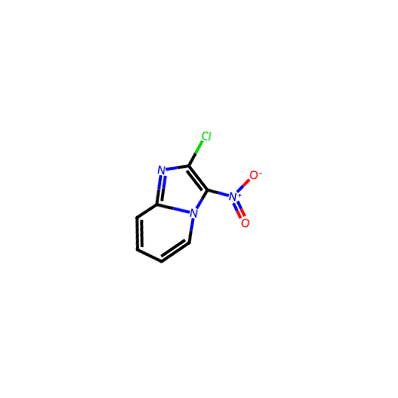 O=[N+]([O-])c1c(Cl)nc2ccccn12